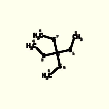 CSC(SC)(SC)SC